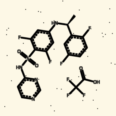 C[C@H](Nc1cc(F)c(S(=O)(=O)Nc2ccncn2)c(F)c1)c1cc(F)ccc1F.O=C(O)C(F)(F)F